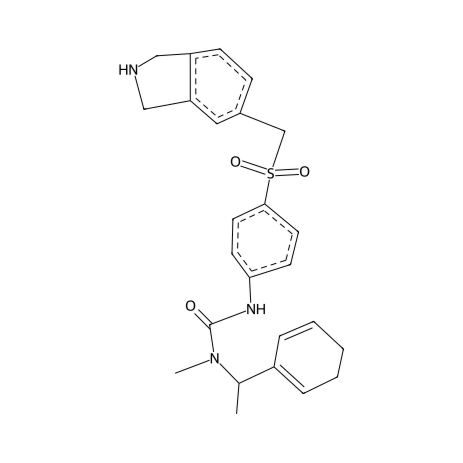 CC(C1=CCCC=C1)N(C)C(=O)Nc1ccc(S(=O)(=O)Cc2ccc3c(c2)CNC3)cc1